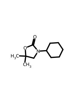 CC1(C)CN(C2CCCCC2)C(=O)O1